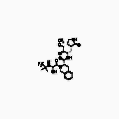 CC(C)(NC(O)C(=O)N1Cc2ccccc2C[C@H]1C(=O)N[C@@H](C[C@@H]1CCNC1=O)C(=O)COC(F)(F)F)C(F)(F)F